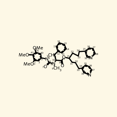 COc1cc(N(C)C(=O)N(C)C(Cc2ccccc2)C(=O)OC(CCCc2cccnc2)CCCc2cccnc2)cc(OC)c1OC